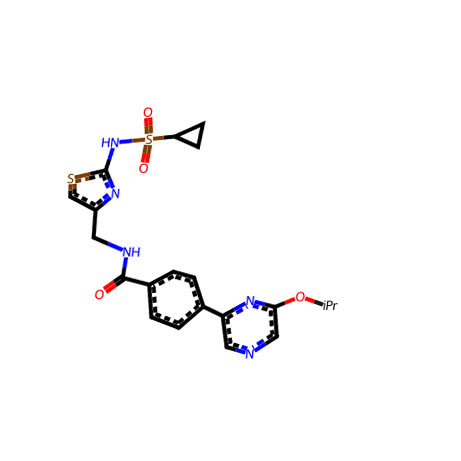 CC(C)Oc1cncc(-c2ccc(C(=O)NCc3csc(NS(=O)(=O)C4CC4)n3)cc2)n1